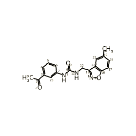 CC(=O)c1cccc(NC(=O)NCc2noc3ccc(C)cc23)c1